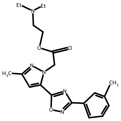 CCN(CC)CCOC(=O)Cn1nc(C)cc1-c1nc(-c2cccc(C)c2)no1